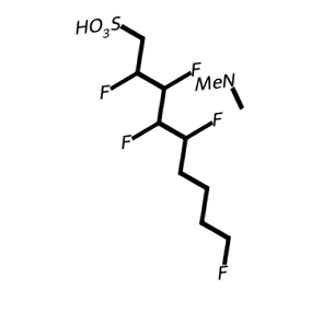 CNC.O=S(=O)(O)CC(F)C(F)C(F)C(F)CCCCF